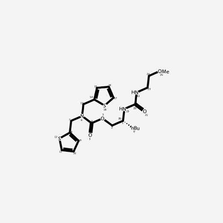 CCCC[C@H](COC(=O)N(Cc1cccs1)Cc1cccs1)NC(=O)NCCOC